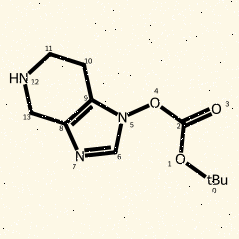 CC(C)(C)OC(=O)On1cnc2c1CCNC2